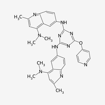 Cc1cc(N(C)C)c2cc(Nc3nc(Nc4ccc5nc(C)cc(N(C)C)c5c4)nc(Oc4ccncc4)n3)ccc2n1